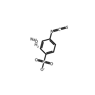 O.O=S(=O)([O-])c1ccc(N=C=S)cc1.[Na+]